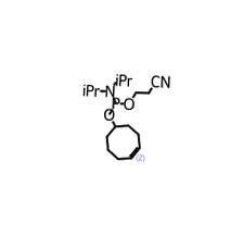 CC(C)N(C(C)C)P(OCCC#N)OC1CC/C=C\CCC1